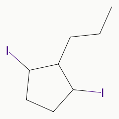 CCCC1C(I)CCC1I